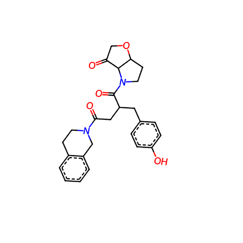 O=C1COC2CCN(C(=O)C(CC(=O)N3CCc4ccccc4C3)Cc3ccc(O)cc3)C12